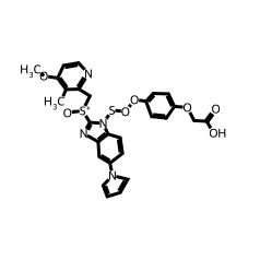 COc1ccnc(C[S+]([O-])c2nc3cc(-n4cccc4)ccc3n2SOOc2ccc(OCC(=O)O)cc2)c1C